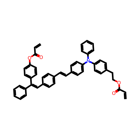 C=CC(=O)OCCc1ccc(N(c2ccccc2)c2ccc(C=Cc3ccc(C=C(c4ccccc4)c4ccc(OC(=O)C=C)cc4)cc3)cc2)cc1